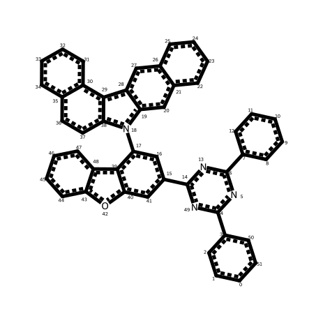 c1ccc(-c2nc(-c3ccccc3)nc(-c3cc(-n4c5cc6ccccc6cc5c5c6ccccc6ccc54)c4c(c3)oc3ccccc34)n2)cc1